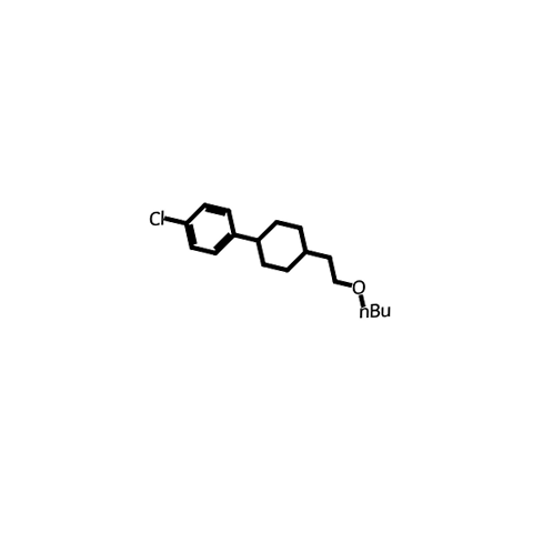 CCCCOCCC1CCC(c2ccc(Cl)cc2)CC1